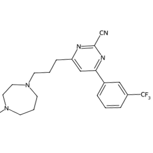 CN1CCCN(CCCc2cc(-c3cccc(C(F)(F)F)c3)nc(C#N)n2)CC1